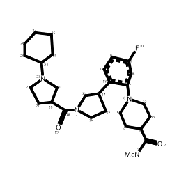 CNC(=O)C1CCN(c2cc(F)ccc2C2CCN(C(=O)C3CCN(C4CCCCC4)C3)C2)CC1